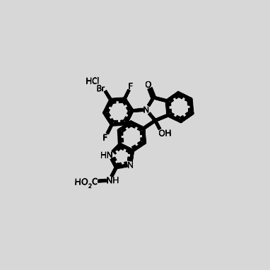 Cl.O=C(O)Nc1nc2cc(C3(O)c4ccccc4C(=O)N3c3cc(F)cc(Br)c3F)ccc2[nH]1